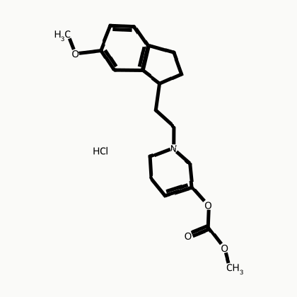 COC(=O)OC1=CCCN(CCC2CCc3ccc(OC)cc32)C1.Cl